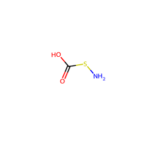 NSC(=O)O